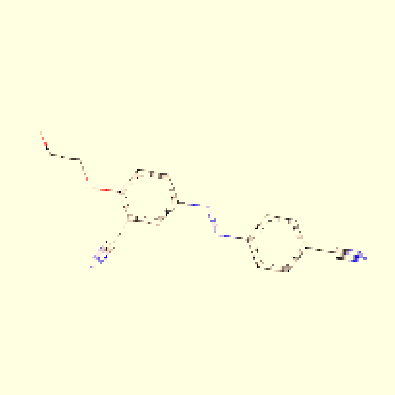 N#Cc1ccc(N=Nc2ccc(OCCO)c(C#N)c2)cc1